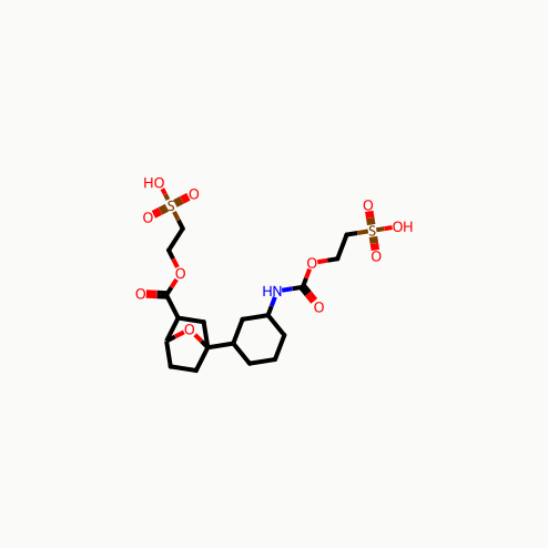 O=C(NC1CCCC(C23CCC(O2)C(C(=O)OCCS(=O)(=O)O)C3)C1)OCCS(=O)(=O)O